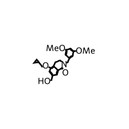 COc1cc(CN2CCc3c(OCC4CC4)cc(CO)cc3C2=O)cc(OC)c1